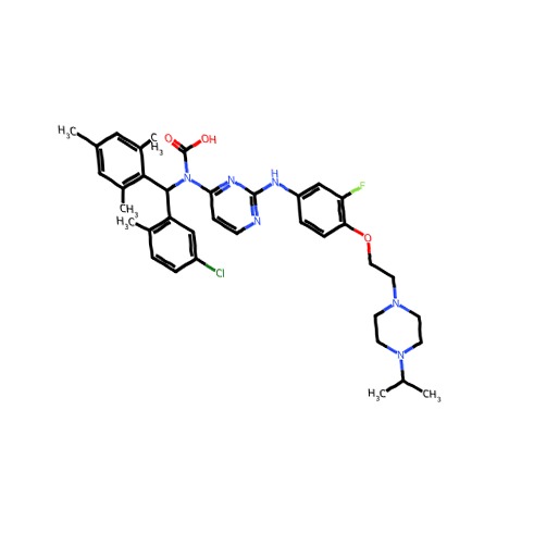 Cc1cc(C)c(C(c2cc(Cl)ccc2C)N(C(=O)O)c2ccnc(Nc3ccc(OCCN4CCN(C(C)C)CC4)c(F)c3)n2)c(C)c1